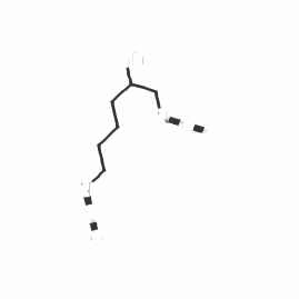 CCCC(CCCCN=C=O)CN=C=O